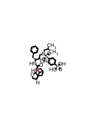 CC(C)CN(C[C@@H](O)[C@H](Cc1ccccc1)NC(=O)C[C@H]1C2CO[C@H]3OC[C@@H]1C3C2)S(=O)(=O)c1ccc(P(=O)(O)O)cc1